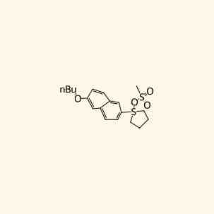 CCCCOc1ccc2cc(S3(OS(C)(=O)=O)CCCC3)ccc2c1